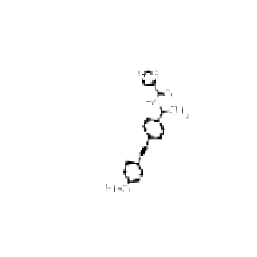 CCOc1ccc(C#Cc2ccc(C(C)NC(=O)c3cncs3)cc2)cc1